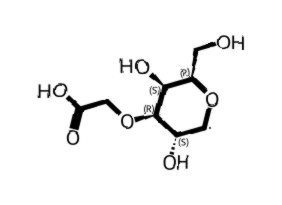 O=C(O)CO[C@H]1[C@@H](O)[C@@H](CO)O[CH][C@@H]1O